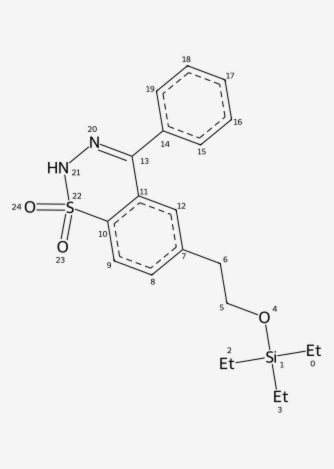 CC[Si](CC)(CC)OCCc1ccc2c(c1)C(c1ccccc1)=NNS2(=O)=O